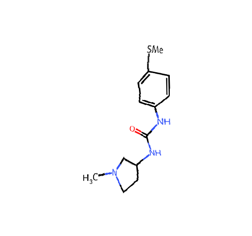 CSc1ccc(NC(=O)NC2CCN(C)C2)cc1